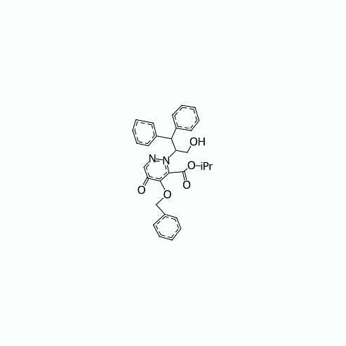 CC(C)OC(=O)c1c(OCc2ccccc2)c(=O)cnn1C(CO)C(c1ccccc1)c1ccccc1